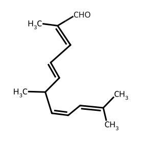 CC(C)=C/C=C\C(C)/C=C/C=C(\C)C=O